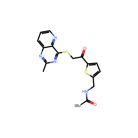 Cc1nc(SCC(=O)c2ccc(CNC(=O)C(C)(C)C)s2)c2ncccc2n1